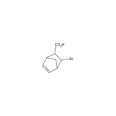 CC(=O)C1C2C=CC(C2)C1C(=O)O